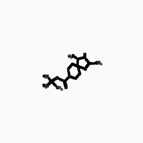 CC1N[C@H](C)C2(CCN(C(=O)OC(C)(C)C)CC2)O1